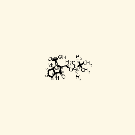 CC(C)(C)[Si](C)(C)OC[C@H]1C(=O)[C@H]2CCC[C@H]2N1C(=O)O